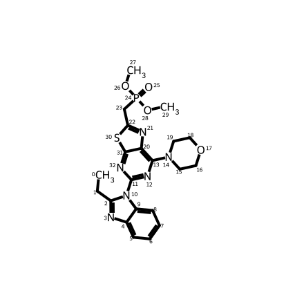 CCc1nc2ccccc2n1-c1nc(N2CCOCC2)c2nc(CP(=O)(OC)OC)sc2n1